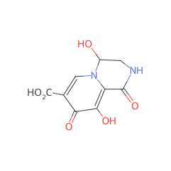 O=C(O)c1cn2c(c(O)c1=O)C(=O)NCC2O